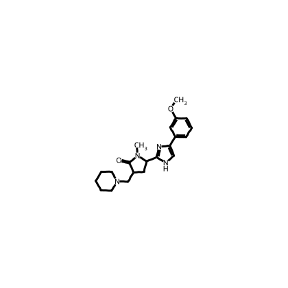 COc1cccc(-c2c[nH]c(C3CC(CN4CCCCC4)C(=O)N3C)n2)c1